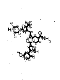 COc1cc(-c2cc(C(=O)N3CCC(C(N)=O)CC34CC4Cc3nc(N4C[C@@H](C)N[C@@H](C)C4)oc3C(F)(F)F)n[nH]2)c(F)cn1